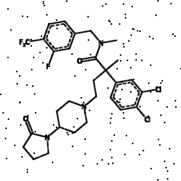 CN(Cc1ccc(C(F)(F)F)c(F)c1)C(=O)C(C)(CCN1CCC(N2CCCC2=O)CC1)c1ccc(Cl)c(Cl)c1